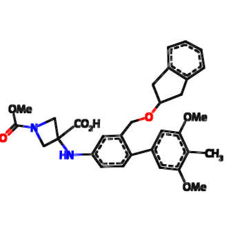 COC(=O)N1CC(Nc2ccc(-c3cc(OC)c(C)c(OC)c3)c(COC3Cc4ccccc4C3)c2)(C(=O)O)C1